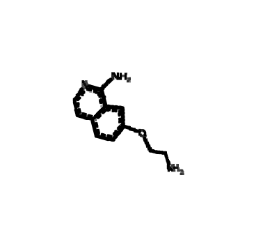 NCCOc1ccc2ccnc(N)c2c1